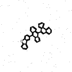 C1=CC2C(c3ccc4oc5ccccc5c4c3)=c3ccccc3=C(c3cc4ccccc4c4ccccc34)C2C=C1